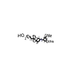 COc1cc(/C=C/c2ccc(OC(=O)CCC(=O)O)cc2)cc(OC)c1